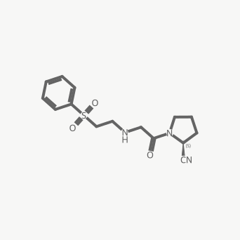 N#C[C@@H]1CCCN1C(=O)CNCCS(=O)(=O)c1ccccc1